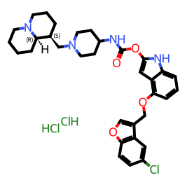 Cl.Cl.O=C(NC1CCN(C[C@@H]2CCCN3CCCC[C@H]23)CC1)Oc1cc2c(OCc3coc4ccc(Cl)cc34)cccc2[nH]1